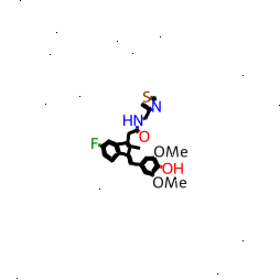 COc1cc(C=C2C(C)=C(CC(=O)NCc3cscn3)c3cc(F)ccc32)cc(OC)c1O